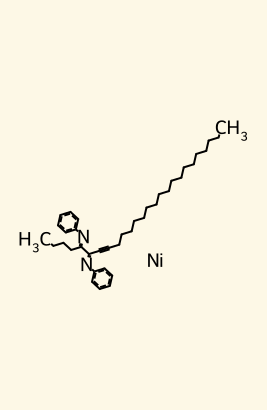 CCCCCCCCCCCCCCCCCCC#CC(=N\c1ccccc1)/C(CCCC)=N/c1ccccc1.[Ni]